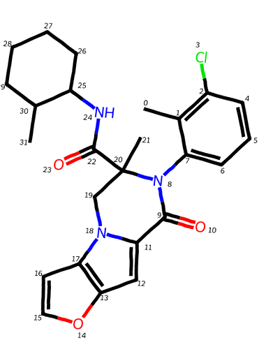 Cc1c(Cl)cccc1N1C(=O)c2cc3occc3n2CC1(C)C(=O)NC1CCCCC1C